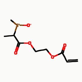 C=CC(=O)OCCOC(=O)C(C)[S+](C)[O-]